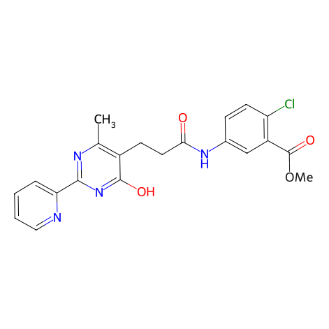 COC(=O)c1cc(NC(=O)CCc2c(C)nc(-c3ccccn3)nc2O)ccc1Cl